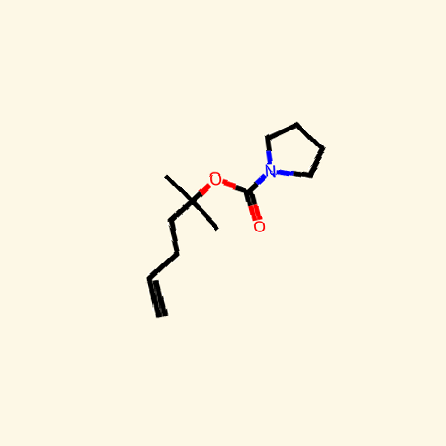 C=CCCC(C)(C)OC(=O)N1CCCC1